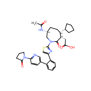 CC(=O)N[C@@H]1CC[C@H](C2CCCC2)[C@H](CC(=O)O)C(=O)N(c2nc(-c3ccccc3-c3ccc(N4CCCC4=O)nc3)cs2)C1